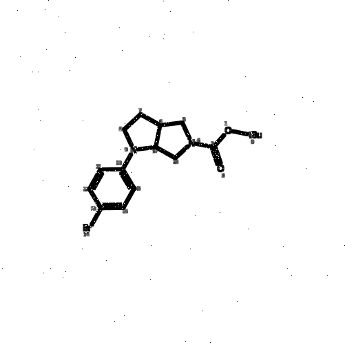 CC(C)(C)OC(=O)N1CC2CCN(c3ccc(Br)cc3)C2C1